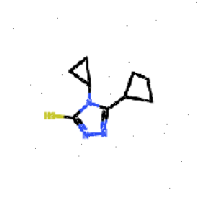 Sc1nnc(C2CCC2)n1C1CC1